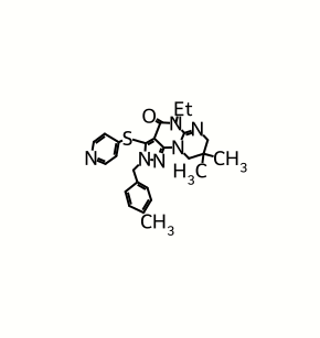 CCN1C(=O)c2c(nn(Cc3ccc(C)cc3)c2Sc2ccncc2)N2CC(C)(C)CN=C12